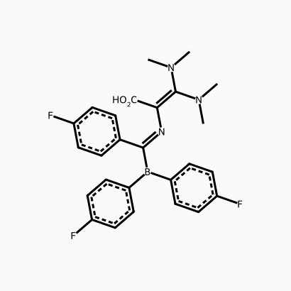 CN(C)C(=C(N=C(B(c1ccc(F)cc1)c1ccc(F)cc1)c1ccc(F)cc1)C(=O)O)N(C)C